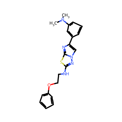 CN(C)c1cccc(-c2cn3nc(NCCOc4ccccc4)sc3n2)c1